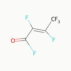 O=C(F)C(F)=C(F)C(F)(F)F